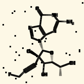 C[C@@H](O)[C@H]1O[C@@H](n2cnc3c(=O)[nH]c(N)nc32)[C@@](Cl)(C#CCF)C1O